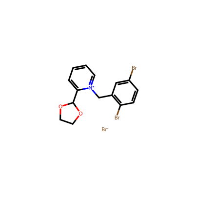 Brc1ccc(Br)c(C[n+]2ccccc2C2OCCO2)c1.[Br-]